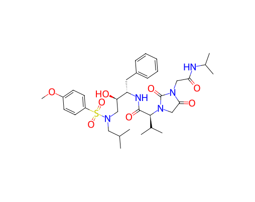 COc1ccc(S(=O)(=O)N(CC(C)C)C[C@@H](O)[C@H](Cc2ccccc2)NC(=O)[C@H](C(C)C)N2CC(=O)N(CC(=O)NC(C)C)C2=O)cc1